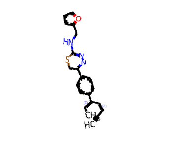 C#C/C=C\C(=C/C)c1ccc(C2=NN=C(NCc3ccco3)SC2)cc1